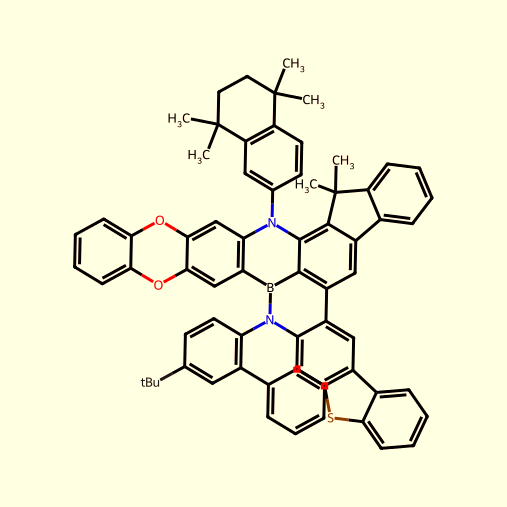 CC(C)(C)c1ccc(N2B3c4cc5c(cc4N(c4ccc6c(c4)C(C)(C)CCC6(C)C)c4c3c(cc3c4C(C)(C)c4ccccc4-3)-c3cc4c(cc32)sc2ccccc24)Oc2ccccc2O5)c(-c2ccccc2)c1